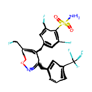 NS(=O)(=O)c1c(F)cc(-c2c(-c3cccc(C(F)(F)F)c3)noc2CF)cc1F